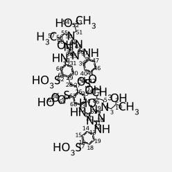 CC(O)CN(CC(C)O)c1nc(Nc2ccc(S(=O)(=O)O)cc2)nc(Nc2ccc(/C=C/c3ccc(Nc4nc(Nc5ccc(OS(=O)O)cc5)nc(N(CC(C)O)CC(C)O)n4)cc3S(=O)(=O)O)c(SOOO)c2)n1